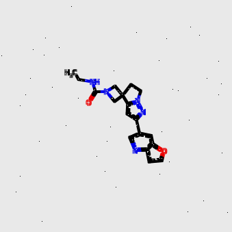 CCNC(=O)N1CC2(CCn3nc(-c4cnc5ccoc5c4)cc32)C1